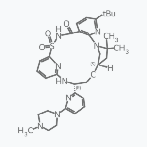 CN1CCN(c2cccc([C@H]3CC[C@@H]4CN(c5nc(C(C)(C)C)ccc5C(=O)NS(=O)(=O)c5cccc(n5)N3)C(C)(C)C4)n2)CC1